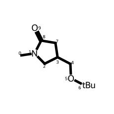 CN1CC(COC(C)(C)C)CC1=O